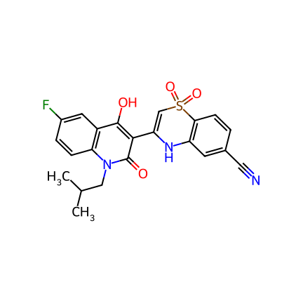 CC(C)Cn1c(=O)c(C2=CS(=O)(=O)c3ccc(C#N)cc3N2)c(O)c2cc(F)ccc21